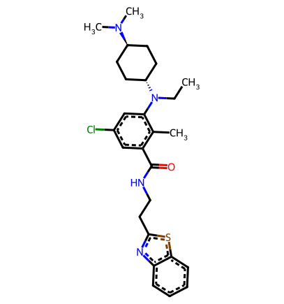 CCN(c1cc(Cl)cc(C(=O)NCCc2nc3ccccc3s2)c1C)[C@H]1CC[C@H](N(C)C)CC1